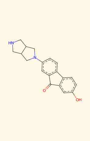 O=C1c2cc(O)ccc2-c2ccc(N3CC4CNCC4C3)cc21